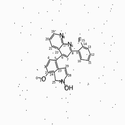 COc1ccc(-c2cc(-c3ccccc3F)nc3ncccc23)c2c1CN(O)C=C2